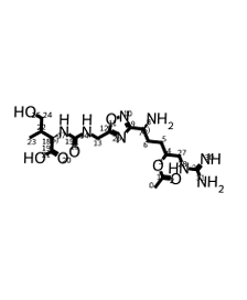 CC(=O)OC(CC[C@H](N)c1noc(CNC(=O)N[C@H](C(=O)O)C(C)CO)n1)CNC(=N)N